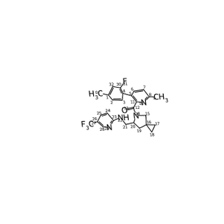 Cc1ccc(-c2ccc(C)nc2C(=O)N2CC3(CC3)CC2CNc2ccc(C(F)(F)F)cn2)c(F)c1